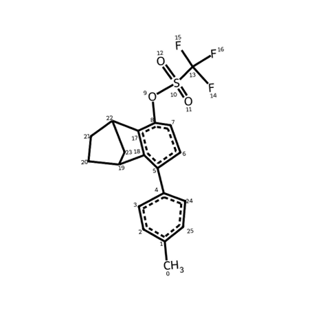 Cc1ccc(-c2ccc(OS(=O)(=O)C(F)(F)F)c3c2C2CCC3C2)cc1